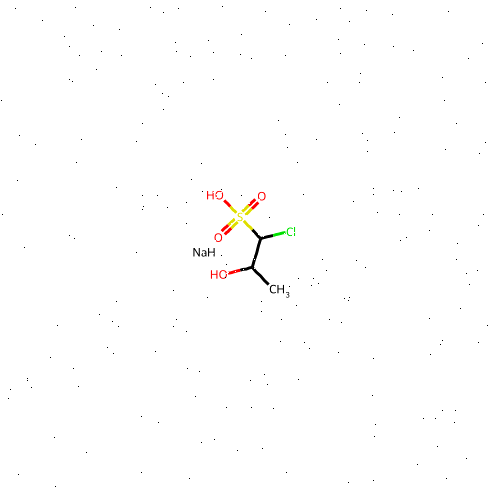 CC(O)C(Cl)S(=O)(=O)O.[NaH]